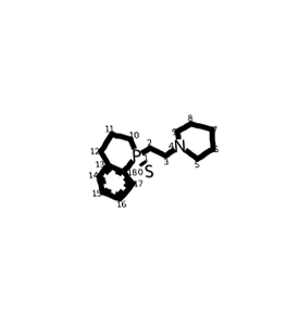 S=P1(CCN2CCCCC2)CCCc2ccccc21